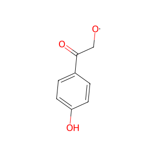 [O]CC(=O)c1ccc(O)cc1